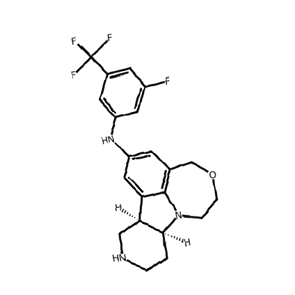 Fc1cc(Nc2cc3c4c(c2)[C@@H]2CNCC[C@@H]2N4CCOC3)cc(C(F)(F)F)c1